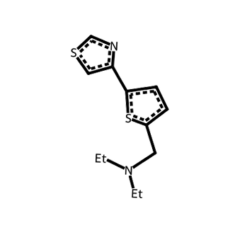 CCN(CC)Cc1ccc(-c2cscn2)s1